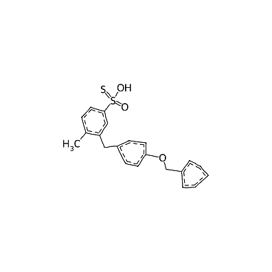 Cc1ccc(S(=O)(O)=S)cc1Cc1ccc(OCc2ccccc2)cc1